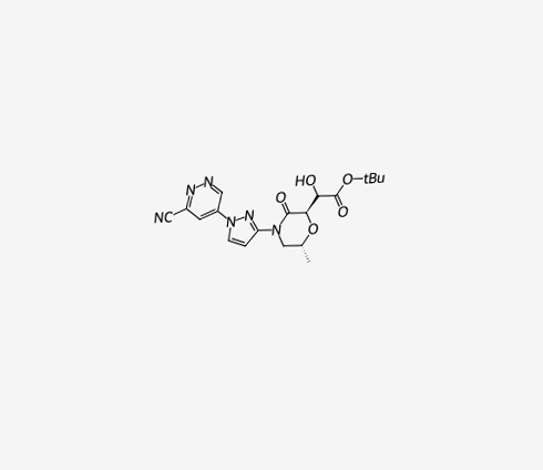 C[C@@H]1CN(c2ccn(-c3cnnc(C#N)c3)n2)C(=O)[C@@H](C(O)C(=O)OC(C)(C)C)O1